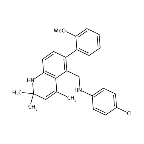 COc1ccccc1-c1ccc2c(c1CNc1ccc(Cl)cc1)C(C)=CC(C)(C)N2